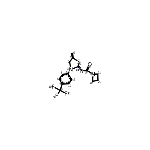 C=C1CN(c2ccc(C(F)(F)F)cc2)/C(=N/C(=O)N2CCC2)S1